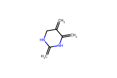 C=C1NCC(=C)C(=C)N1